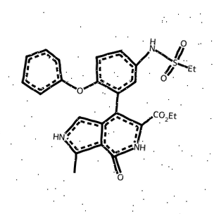 CCOC(=O)c1[nH]c(=O)c2c(C)[nH]cc2c1-c1cc(NS(=O)(=O)CC)ccc1Oc1ccccc1